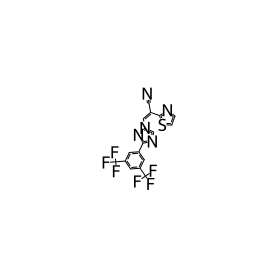 N#CC(=Cn1cnc(-c2cc(C(F)(F)F)cc(C(F)(F)F)c2)n1)c1nccs1